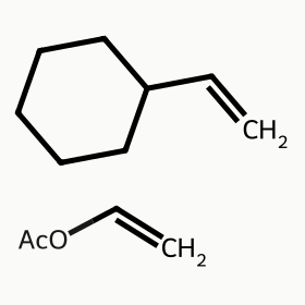 C=CC1CCCCC1.C=COC(C)=O